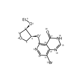 CCO[C@@H]1COC[C@@H]1Oc1ncc(Br)c2nc[nH]c(=O)c12